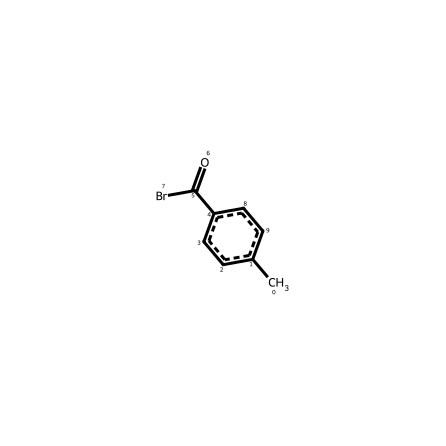 Cc1ccc(C(=O)Br)cc1